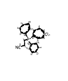 N#CCC[P+](c1ccccc1)(c1ccccc1)c1ccccc1.[Cl-]